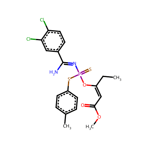 CCC(=CC(=O)OC)OP(=S)(N=C(N)c1ccc(Cl)c(Cl)c1)Sc1ccc(C)cc1